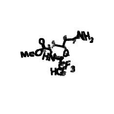 COC(=O)[C@H](CCCCN)NC(=O)C(F)(F)F.Cl